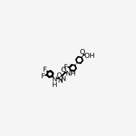 O=C(NC1=CCC([C@H]2CC[C@H](C(=O)O)CC2)C=C1F)c1nnc(Nc2ccc(F)c(F)c2)o1